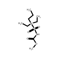 CCC[N+](CC)(CC)S(=O)(=O)NC(=O)OC